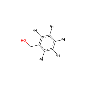 [2H]c1c([2H])c([2H])c(CO)c([2H])c1[2H]